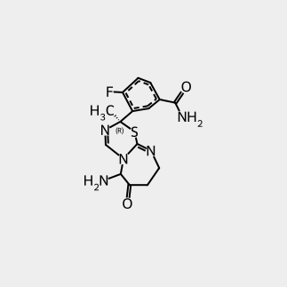 C[C@@]1(c2cc(C(N)=O)ccc2F)N=CN2C(=NCCC(=O)C2N)S1